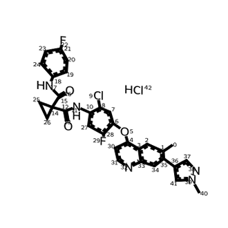 Cc1cc2c(Oc3cc(Cl)c(NC(=O)C4(C(=O)Nc5ccc(F)cc5)CC4)cc3F)ccnc2cc1-c1cnn(C)c1.Cl